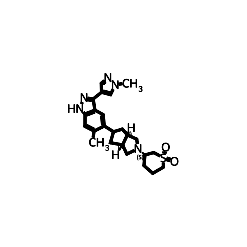 Cc1cc2[nH]nc(-c3cnn(C)c3)c2cc1C1C[C@@H]2CN([C@H]3CCCS(=O)(=O)C3)C[C@@H]2C1